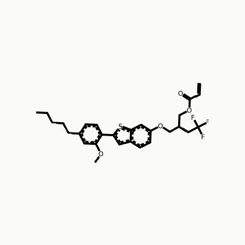 C=CC(=O)OCC(COc1ccc2cc(-c3ccc(CCCCC)cc3OC)sc2c1)CC(F)(F)F